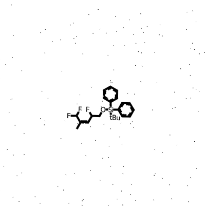 CC(=CC(F)CO[Si](c1ccccc1)(c1ccccc1)C(C)(C)C)C(F)F